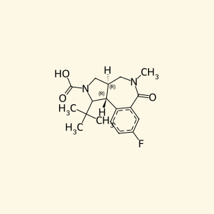 CN1C[C@@H]2CN(C(=O)O)C(C(C)(C)C)[C@H]2c2ccc(F)cc2C1=O